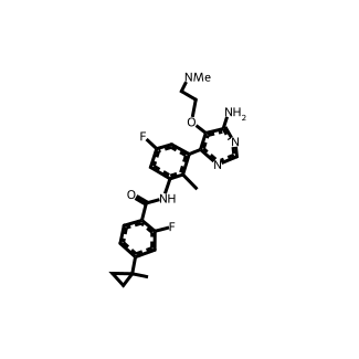 CNCCOc1c(N)ncnc1-c1cc(F)cc(NC(=O)c2ccc(C3(C)CC3)cc2F)c1C